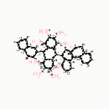 Bc1c(B)c(B)c2c(-c3cc4ccc5ccccc5c4c4ccccc34)c3c(B)c(B)c(B)c(B)c3c(-c3ccc4ccccc4c3)c2c1B